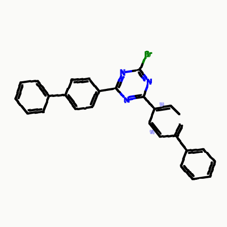 C=C(/C=C\C(=C/C)c1nc(Br)nc(-c2ccc(-c3ccccc3)cc2)n1)c1ccccc1